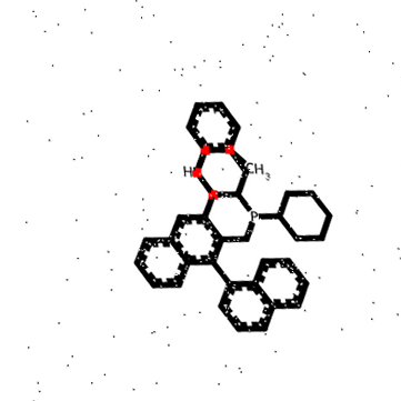 Cc1ccccc1PCc1cc2ccccc2c(-c2cccc3ccccc23)c1CP(C1CCCCC1)C1CCCCC1